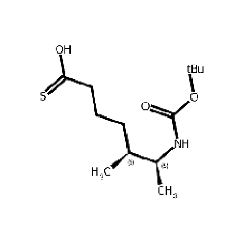 C[C@H](NC(=O)OC(C)(C)C)[C@@H](C)CCCC(O)=S